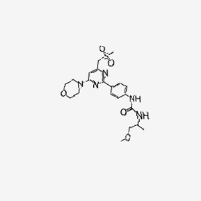 COCC(C)NC(=O)Nc1ccc(-c2nc(CS(C)(=O)=O)cc(N3CCOCC3)n2)cc1